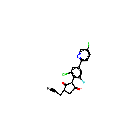 C#CCC1CC(=O)C(c2c(F)cc(-c3ccc(Cl)cn3)cc2Cl)C1=O